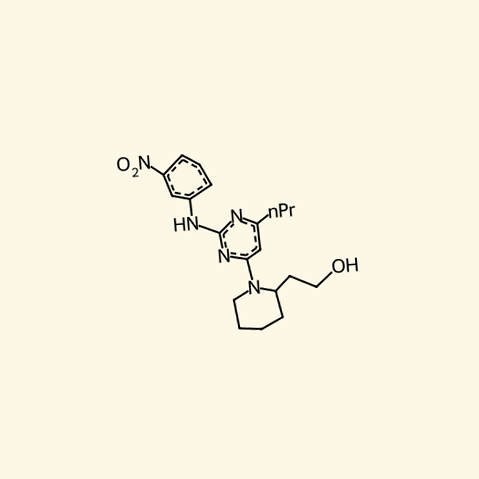 CCCc1cc(N2CCCCC2CCO)nc(Nc2cccc([N+](=O)[O-])c2)n1